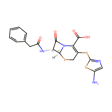 Nc1cnc(SC2=C(C(=O)O)N3C(=O)[C@@H](NC(=O)Cc4ccccc4)[C@@H]3SC2)s1